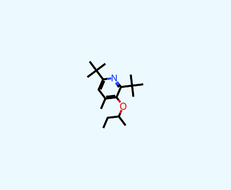 CCC(C)Oc1c(C)cc(C(C)(C)C)nc1C(C)(C)C